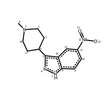 CN1CCC(c2n[nH]c3ccc([N+](=O)[O-])cc23)CC1